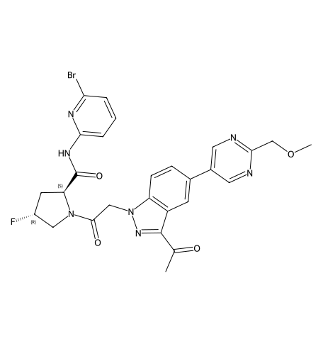 COCc1ncc(-c2ccc3c(c2)c(C(C)=O)nn3CC(=O)N2C[C@H](F)C[C@H]2C(=O)Nc2cccc(Br)n2)cn1